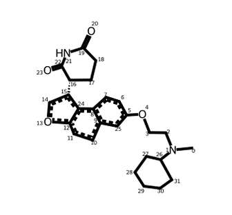 CN(CCOc1ccc2c(ccc3occ([C@H]4CCC(=O)NC4=O)c32)c1)C1CCCCC1